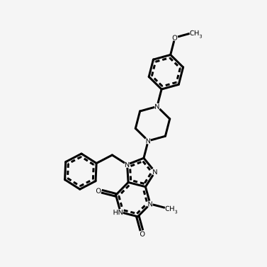 COc1ccc(N2CCN(c3nc4c(c(=O)[nH]c(=O)n4C)n3Cc3ccccc3)CC2)cc1